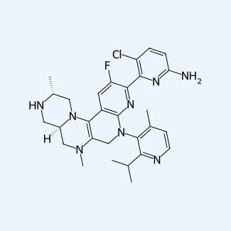 Cc1ccnc(C(C)C)c1N1CC2=C(c3cc(F)c(-c4nc(N)ccc4Cl)nc31)N1C[C@@H](C)NC[C@@H]1CN2C